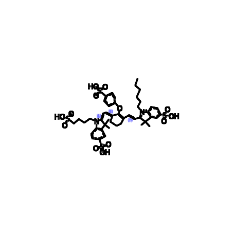 CCCCCC[N+]1=C(/C=C/C2=C(Oc3ccc(S(=O)(=O)O)cc3)C(=C/C=C3/N(CCCCS(=O)(=O)O)c4ccc(S(=O)(=O)O)cc4C3(C)C)/CCC2)C(C)(C)c2cc(S(=O)(=O)O)ccc21